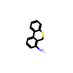 Nc1cccc2c1CSc1ccccc1-2